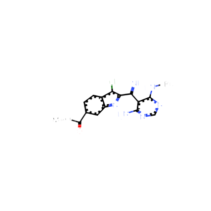 COC(=O)c1ccc2c(Cl)c(C(=N)c3c(N)ncnc3NC(C)(C)C)[nH]c2c1